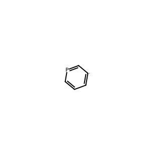 [c]1cccpc1